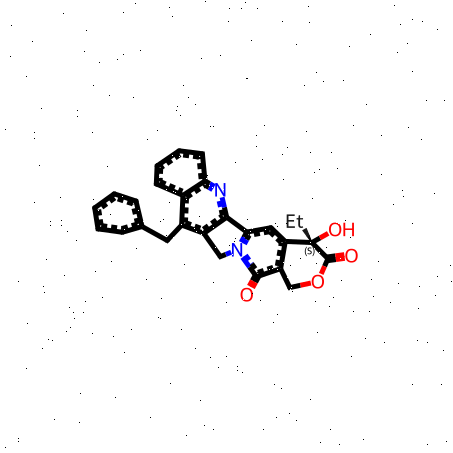 CC[C@@]1(O)C(=O)OCc2c1cc1n(c2=O)Cc2c-1nc1ccccc1c2Cc1ccccc1